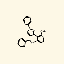 COc1cccc(OCc2ccccc2)c1-c1ccn(-c2ccccn2)n1